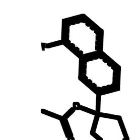 CC(=O)OC1(c2ccc3cccc(F)c3c2)CCCC1